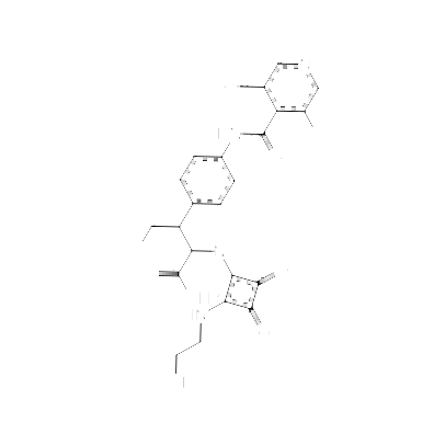 CCCNc1c(NC(C(=O)O)C(CC)c2ccc(NC(=O)c3c(Cl)cncc3Cl)cc2)c(=O)c1=O